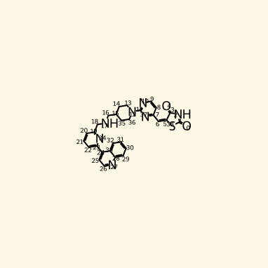 O=C1NC(=O)/C(=C\c2ccnc(N3CCC(CNCc4cccc(-c5ccnc6ccccc56)n4)CC3)n2)S1